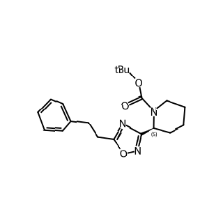 CC(C)(C)OC(=O)N1CCCC[C@H]1c1noc(CCc2ccccc2)n1